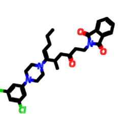 CCC/C=C(\C(C)CC(=O)CCN1C(=O)c2ccccc2C1=O)N1CCN(c2cc(Cl)cc(Cl)c2)CC1